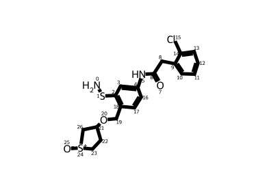 NSc1cc(NC(=O)Cc2ccccc2Cl)ccc1COC1CC[S+]([O-])C1